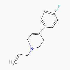 C=CCN1CC=C(c2ccc(F)cc2)CC1